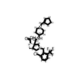 C[C@@H]1CN(Cc2c(Cl)cccc2C(F)(F)F)C[C@]1(CC(=O)O)C(=O)NC1CCN(CC2=CCCC2)CC1